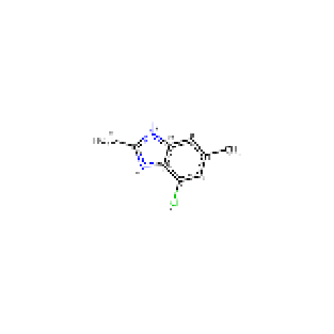 Cc1cc(Cl)c2nc(C(=O)O)[nH]c2c1